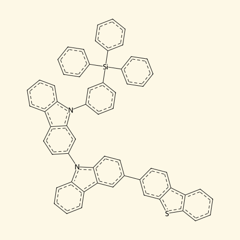 c1ccc([Si](c2ccccc2)(c2ccccc2)c2cccc(-n3c4ccccc4c4ccc(-n5c6ccccc6c6cc(-c7ccc8c(c7)sc7ccccc78)ccc65)cc43)c2)cc1